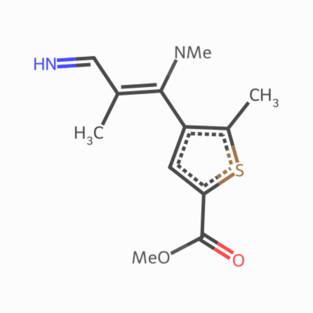 CN/C(=C(/C)C=N)c1cc(C(=O)OC)sc1C